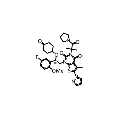 COc1ccc(F)cc1[C@H](Cn1c(=O)n(C(C)(C)C(=O)N2CCCC2)c(=O)c2c(C)c(-n3cccn3)sc21)OC1CCC(=O)CC1